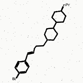 CCCC1CCC(C2CCC(CCC=Cc3ccc(Br)cc3)CC2)CC1